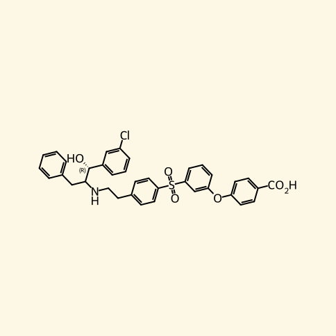 O=C(O)c1ccc(Oc2cccc(S(=O)(=O)c3ccc(CCNC(Cc4ccccc4)[C@H](O)c4cccc(Cl)c4)cc3)c2)cc1